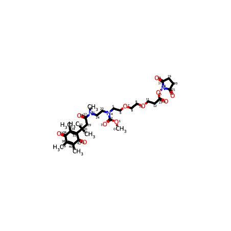 COC(=O)N(CCOCCOCCC(=O)ON1C(=O)CCC1=O)CCN(C)C(=O)CC(C)(C)C1=C(C)C(=O)C(C)=C(C)C1=O